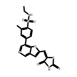 CCNS(=O)(=O)c1ccc(-c2cncc3cc(/C=C4/SC(=S)NC4=O)oc23)cc1C